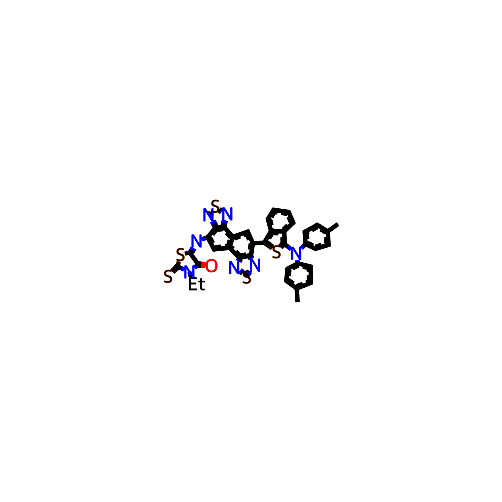 CCN1C(=O)/C(=N\c2cc3c(cc(-c4sc(N(c5ccc(C)cc5)c5ccc(C)cc5)c5ccccc45)c4nsnc43)c3nsnc23)SC1=S